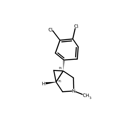 CN1C[C@@H]2C[C@@]2(c2ccc(Cl)c(Cl)c2)C1